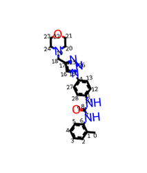 Cc1ccccc1NC(=O)Nc1ccc(-n2cc(CN3CCOCC3)nn2)cc1